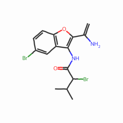 C=C(N)c1oc2ccc(Br)cc2c1NC(=O)C(Br)C(C)C